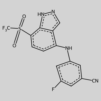 N#Cc1cc(F)cc(Nc2ccc(S(=O)(=O)C(F)(F)F)c3[nH]ncc23)c1